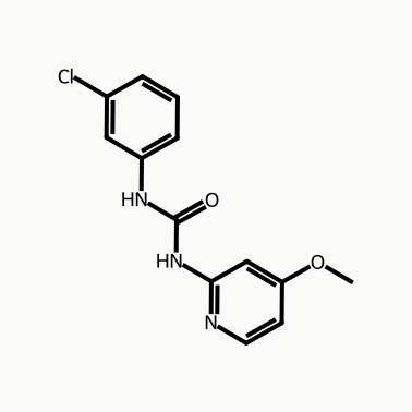 COc1ccnc(NC(=O)Nc2cccc(Cl)c2)c1